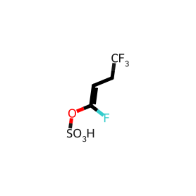 O=S(=O)(O)OC(F)=CCC(F)(F)F